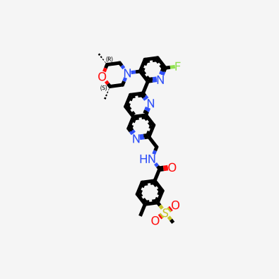 Cc1ccc(C(=O)NCc2cc3nc(-c4nc(F)ccc4N4C[C@@H](C)O[C@@H](C)C4)ccc3cn2)cc1S(C)(=O)=O